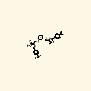 Cc1oc(-c2ccc(C(C)C)cc2)nc1CO[C@H]1CCC[C@@H](OCC(OCc2ccc(C(F)(F)F)cc2)C(=O)O)C1